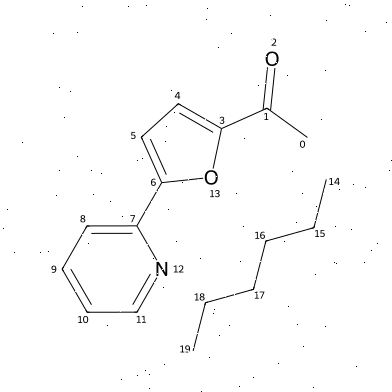 CC(=O)c1ccc(-c2ccccn2)o1.CCCCCC